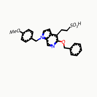 COc1ccc(Cn2ccc3c(CCS(=O)(=O)O)c(OCc4ccccc4)ncc32)cc1